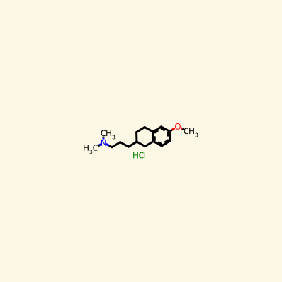 COc1ccc2c(c1)CCC(CCCN(C)C)C2.Cl